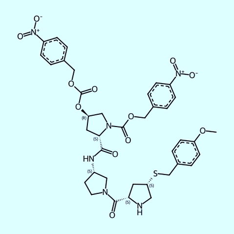 COc1ccc(CS[C@@H]2CN[C@H](C(=O)N3CC[C@H](NC(=O)[C@@H]4C[C@@H](OC(=O)OCc5ccc([N+](=O)[O-])cc5)CN4C(=O)OCc4ccc([N+](=O)[O-])cc4)C3)C2)cc1